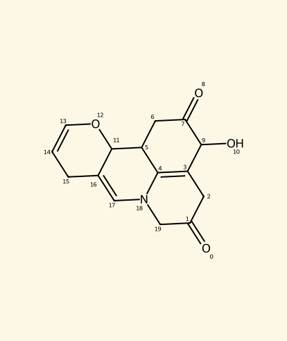 O=C1CC2=C3C(CC(=O)C2O)C2OC=CCC2=CN3C1